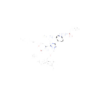 COC(=O)Nc1ccc(-c2cn(COCC[Si](C)(C)C)c([C@H](COCCC(=O)O)NC(=O)OC(C)(C)C)n2)c(N)c1